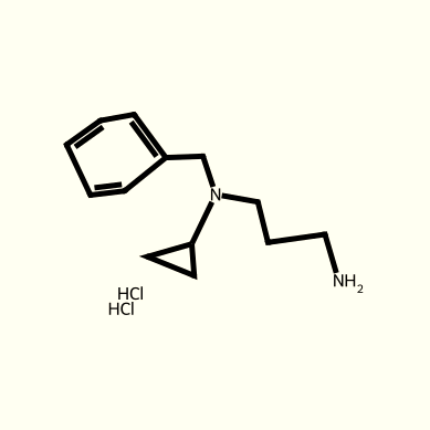 Cl.Cl.NCCCN(Cc1ccccc1)C1CC1